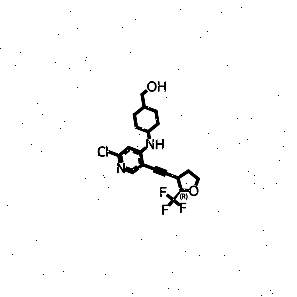 OCC1CCC(Nc2cc(Cl)ncc2C#CC2CCO[C@H]2C(F)(F)F)CC1